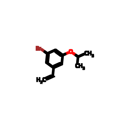 C=[C]c1cc(Br)cc(OC(C)C)c1